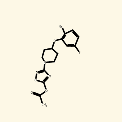 CC(=O)Oc1nc(N2CCC(Oc3cc(F)ccc3Br)CC2)no1